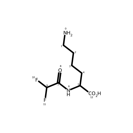 NCCCCC(NC(=O)C(F)F)C(=O)O